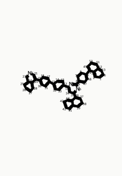 c1ccc2c(-c3ccc(-c4nc(-c5ccc(-c6ccc(-c7cncc8ccccc78)cc6)cc5)cc(-c5cccc6ccccc56)n4)cc3)cccc2c1